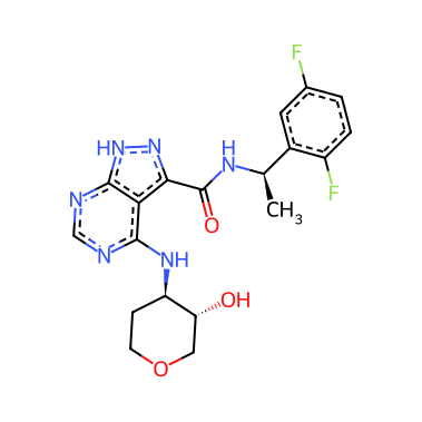 C[C@@H](NC(=O)c1n[nH]c2ncnc(N[C@@H]3CCOC[C@H]3O)c12)c1cc(F)ccc1F